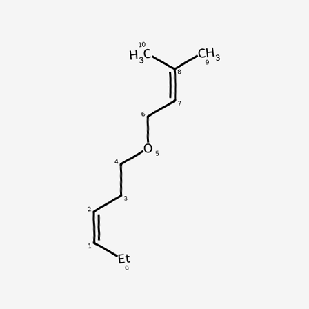 CC/C=C\CCOCC=C(C)C